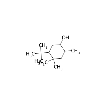 CC1CC(C)(C)C(C(C)(C)C)CC1O